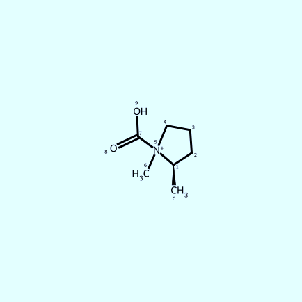 C[C@@H]1CCC[N+]1(C)C(=O)O